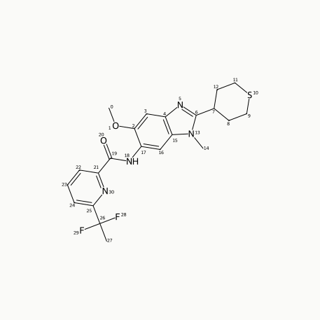 COc1cc2nc(C3CCSCC3)n(C)c2cc1NC(=O)c1cccc(C(C)(F)F)n1